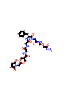 NC(=O)COCNC(=O)CNC(=O)[C@H](Cc1ccccc1)NC(=O)CNC(=O)CNC(=O)C1COC(CN2C(=O)C=CC2=O)OC1